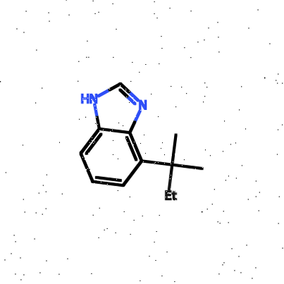 CCC(C)(C)c1cccc2[nH]cnc12